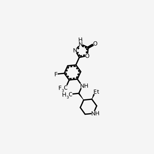 CC[C@H]1CNCC[C@H]1C(C)Nc1cc(-c2n[nH]c(=O)o2)cc(F)c1C(F)(F)F